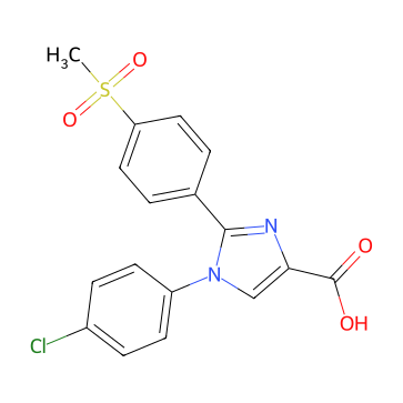 CS(=O)(=O)c1ccc(-c2nc(C(=O)O)cn2-c2ccc(Cl)cc2)cc1